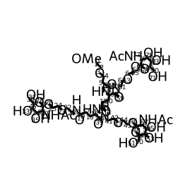 COCCOCCC(=O)NC(CCC(=O)NC(CCC(=O)NCCOCCOC1OC(CO)C(O)C(O)C1NC(C)=O)C(=O)NCCOCCOC1OC(CO)C(O)C(O)C1NC(C)=O)C(=O)NCCOCCOC1OC(CO)C(O)C(O)C1NC(C)=O